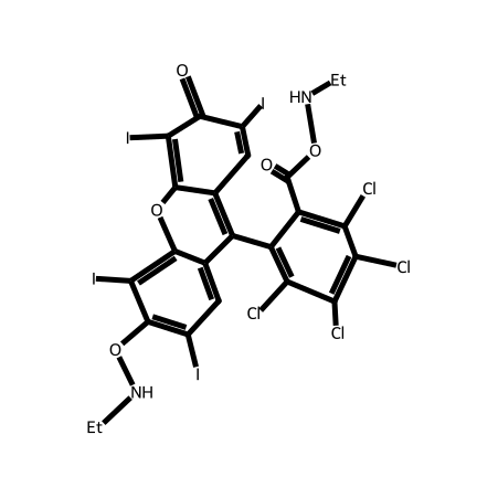 CCNOC(=O)c1c(Cl)c(Cl)c(Cl)c(Cl)c1-c1c2cc(I)c(=O)c(I)c-2oc2c(I)c(ONCC)c(I)cc12